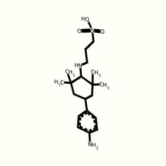 CC1(C)CC(c2ccc(N)cc2)CC(C)(C)C1NCCCS(=O)(=O)O